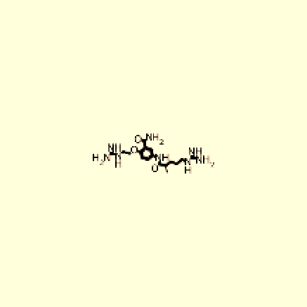 C[C@H](CCCNC(=N)N)C(=O)Nc1ccc(OCCNC(=N)N)c(C(N)=O)c1